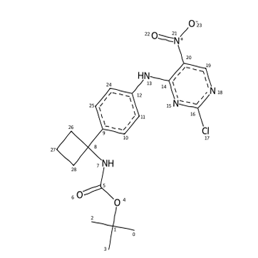 CC(C)(C)OC(=O)NC1(c2ccc(Nc3nc(Cl)ncc3[N+](=O)[O-])cc2)CCC1